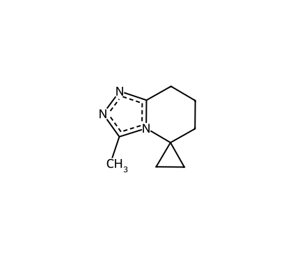 Cc1nnc2n1C1(CCC2)CC1